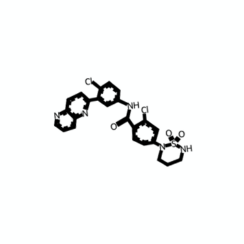 O=C(Nc1ccc(Cl)c(-c2ccc3ncccc3n2)c1)c1ccc(N2CCCNS2(=O)=O)cc1Cl